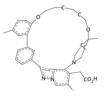 Cc1ccc2c(c1)-c1cccc(c1)-c1cc3c(c(CC(=O)O)c(C)cn3n1)N1CCC(C)(CC1)OCCCCCCO2